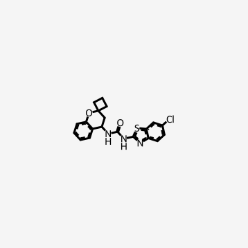 O=C(Nc1nc2ccc(Cl)cc2s1)NC1CC2(CCC2)Oc2ccccc21